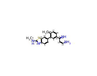 CNc1nc2ccc(-c3cc(C(=N)/C=C\N)ccc3C)cc2s1